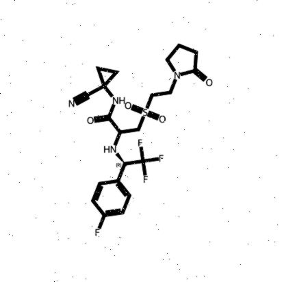 N#CC1(NC(=O)C(CS(=O)(=O)CCN2CCCC2=O)N[C@H](c2ccc(F)cc2)C(F)(F)F)CC1